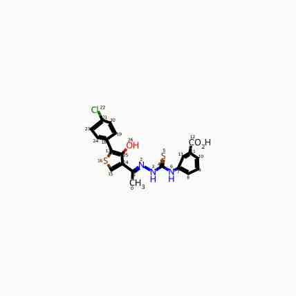 C/C(=N\NC(=S)Nc1cccc(C(=O)O)c1)c1csc(-c2ccc(Cl)cc2)c1O